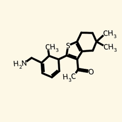 CC(=O)c1c(C2C=CC=C(CN)C2C)sc2c1CC(C)(C)CC2